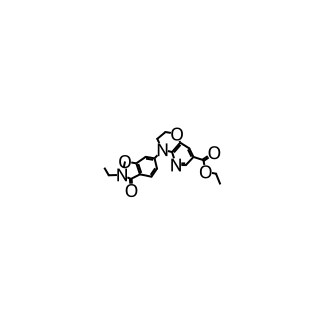 CCOC(=O)c1cnc2c(c1)OCCN2c1ccc2c(=O)n(CC)oc2c1